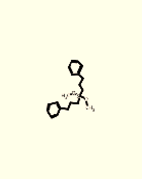 CO[Si](CCCc1ccccc1)(CCCc1ccccc1)OC